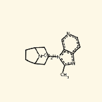 Cc1nc2ccncc2n1C1CC2CCC(C1)N2C(=O)O